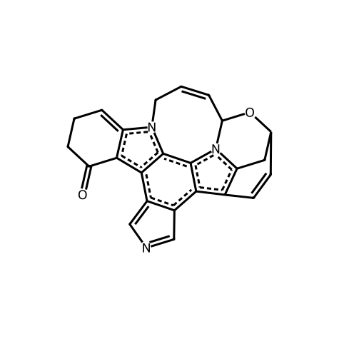 O=C1CCC=c2c1c1c3c(c4c5c6n7c4c1n2C/C=C\C7OC(C=C5)C6)C=NC=3